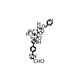 CC(C)C[C@H](NC(=O)OCc1ccncc1)C(=O)N(N)C(=O)N1NC(c2ccc(-c3nc([C]=O)cs3)cc2)=CS1